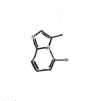 Cc1cnc2cccc(Br)n12